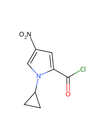 O=C(Cl)c1cc([N+](=O)[O-])cn1C1CC1